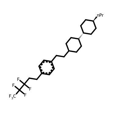 CCC[C@H]1CC[C@H](C2CCC(CCc3ccc(CCC(F)(F)C(F)(F)C(F)(F)F)cc3)CC2)CC1